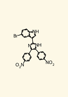 O=[N+]([O-])c1ccc(-c2nc(-c3c[nH]c4ccc(Br)cc34)[nH]c2-c2ccc([N+](=O)[O-])cc2)cc1